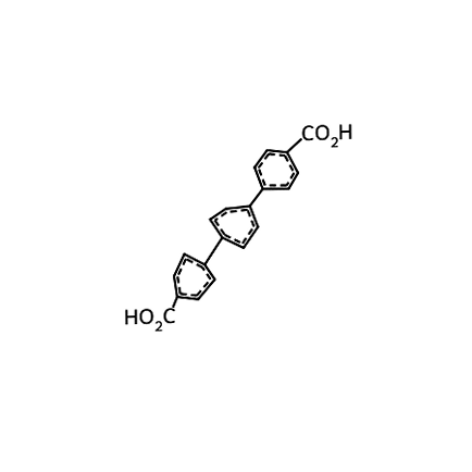 O=C(O)c1ccc(-c2ccc(-c3ccc(C(=O)O)cc3)cc2)cc1